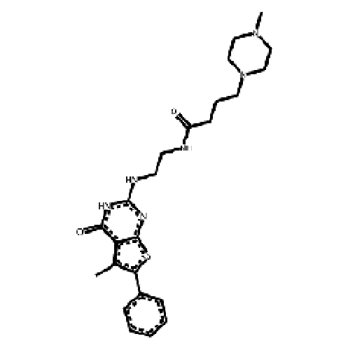 Cc1c(-c2ccccc2)sc2nc(NCCNC(=O)CCCN3CCN(C)CC3)[nH]c(=O)c12